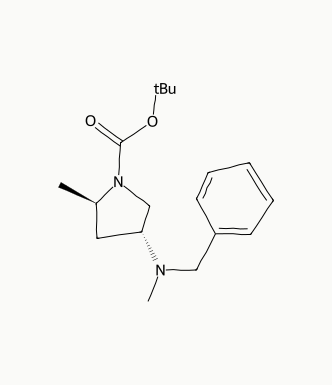 C[C@@H]1C[C@@H](N(C)Cc2ccccc2)CN1C(=O)OC(C)(C)C